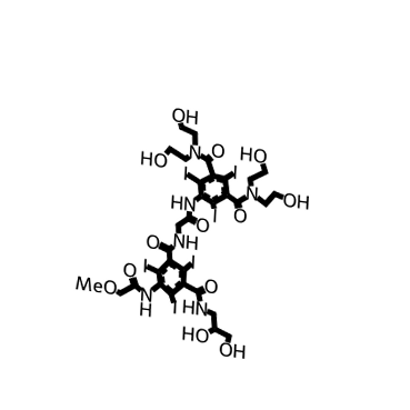 COCC(=O)Nc1c(I)c(C(=O)NCC(=O)Nc2c(I)c(C(=O)N(CCO)CCO)c(I)c(C(=O)N(CCO)CCO)c2I)c(I)c(C(=O)NCC(O)CO)c1I